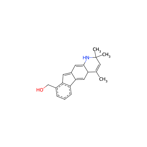 CC1=CC(C)(C)NC2=CC3=Cc4c(CO)cccc4C3=CC12